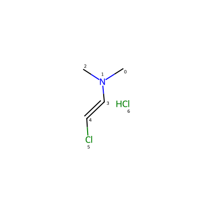 CN(C)C=CCl.Cl